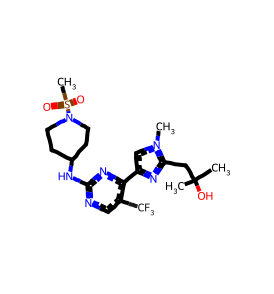 Cn1cc(-c2nc(NC3CCN(S(C)(=O)=O)CC3)ncc2C(F)(F)F)nc1CC(C)(C)O